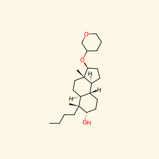 CCCC[C@@]1(C)[C@@H](O)CC[C@@H]2[C@@H]1CC[C@]1(C)[C@@H](OC3CCCOC3)CC[C@@H]21